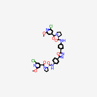 COc1cc(C(=O)N2CCC[C@H]2C(=O)Nc2ccc(-c3nnc(-c4ccc(NC(=O)[C@@H]5CCCN5C(=O)c5cc(Cl)nc(OC)c5)cc4)o3)cc2)cc(Cl)n1